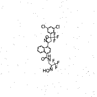 O=C(NC/C(=N\O)C(F)(F)F)c1ccc(C2=NOC(c3cc(Cl)cc(Cl)c3)(C(F)(F)F)C2)c2ccccc12